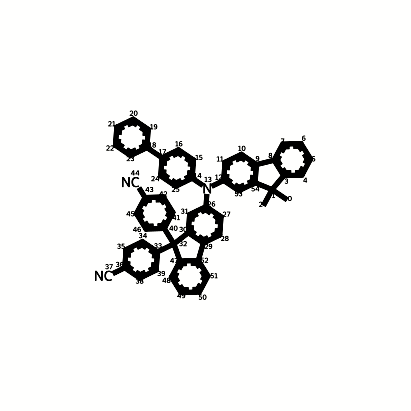 CC1(C)c2ccccc2-c2ccc(N(c3ccc(-c4ccccc4)cc3)c3ccc4c(c3)C(c3ccc(C#N)cc3)(c3ccc(C#N)cc3)c3ccccc3-4)cc21